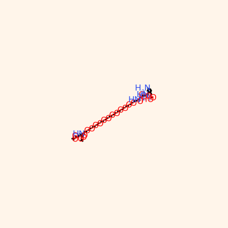 CC(C)(C)OC(=O)CC[C@H](NC(=O)CCOCCOCCOCCOCCOCCOCCOCCOCCOCCOCCOCCOCCNC(=O)CNC(=O)CNC(=O)c1cc(N)ccc1CCC(=O)O)C(=O)OC(C)(C)C